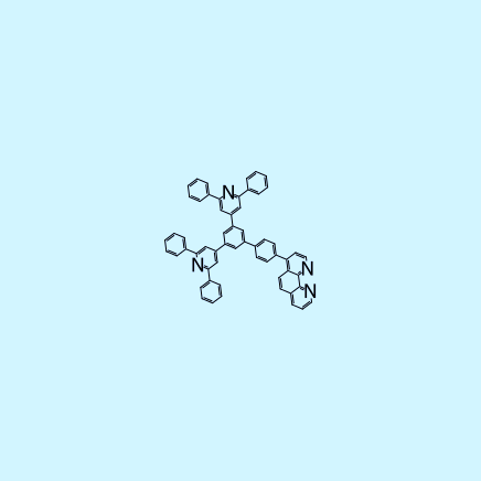 c1ccc(-c2cc(-c3cc(-c4ccc(-c5ccnc6c5ccc5cccnc56)cc4)cc(-c4cc(-c5ccccc5)nc(-c5ccccc5)c4)c3)cc(-c3ccccc3)n2)cc1